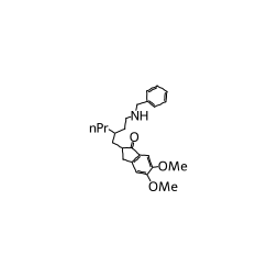 CCCC(CCNCc1ccccc1)CC1Cc2cc(OC)c(OC)cc2C1=O